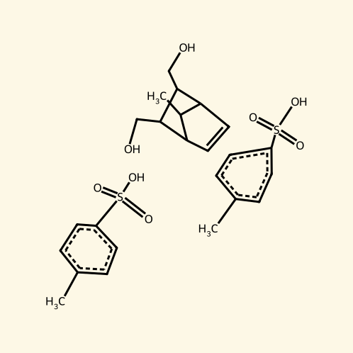 CC1C2C=CC1C(CO)C2CO.Cc1ccc(S(=O)(=O)O)cc1.Cc1ccc(S(=O)(=O)O)cc1